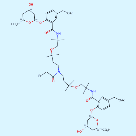 CC(=O)OCc1ccc(O[C@H]2C[C@@H](O)C[C@@H](C(=O)O)O2)c(C(=O)NC(C)(C)COC(C)(C)CCN(CCC(C)(C)OCC(C)(C)NC(=O)c2cc(COC(C)=O)ccc2O[C@H]2C[C@@H](O)C[C@@H](C(=O)O)O2)C(=O)CC(C)C)c1